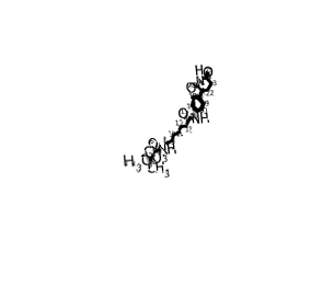 CC(C)(C)OC(=O)NCCCCCCC(=O)Nc1ccc(C2CCC(=O)NC2=O)cc1